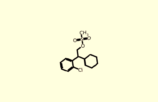 CS(=O)(=O)OCC(c1ccccc1Cl)C1CCCCC1